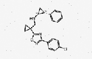 Clc1ccc(-c2noc(C3(CN[C@H]4C[C@@H]4c4ccccc4)CC3)n2)cc1